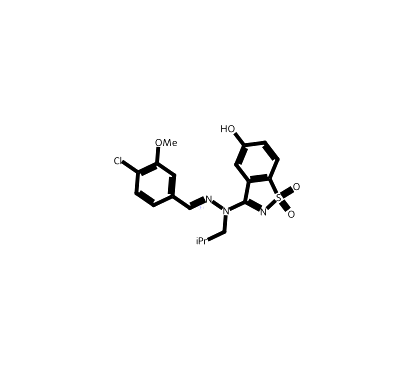 COc1cc(/C=N/N(CC(C)C)C2=NS(=O)(=O)c3ccc(O)cc32)ccc1Cl